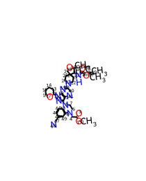 COC(=O)CN1CCN(c2nn(C3CCCCO3)c3nc(N4CCC5(CC4)CO[C@@H](C)[C@H]5NC(=O)OC(C)(C)C)cnc23)c2ccc(C#N)cc21